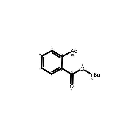 CCCCOC(=O)c1ccccc1C(C)=O